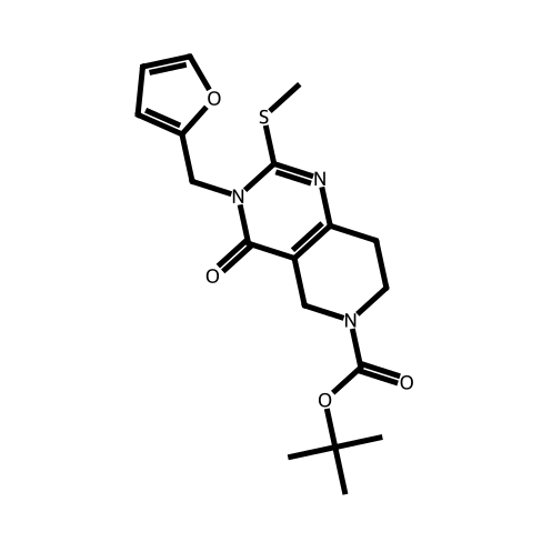 CSc1nc2c(c(=O)n1Cc1ccco1)CN(C(=O)OC(C)(C)C)CC2